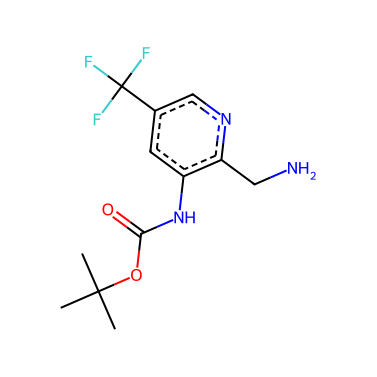 CC(C)(C)OC(=O)Nc1cc(C(F)(F)F)cnc1CN